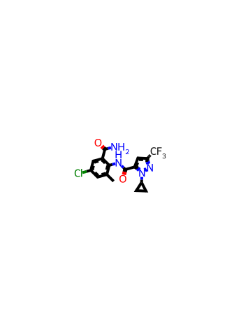 Cc1cc(Cl)cc(C(N)=O)c1NC(=O)c1cc(C(F)(F)F)nn1C1CC1